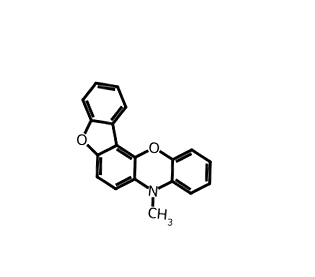 CN1c2ccccc2Oc2c1ccc1oc3ccccc3c21